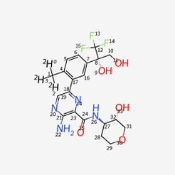 [2H]C([2H])([2H])c1ccc([C@](O)(CO)C(F)(F)F)cc1-c1cnc(N)c(C(=O)N[C@@H]2CCOC[C@H]2O)n1